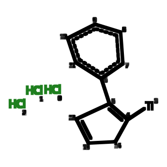 Cl.Cl.Cl.[Ti][C]1=C(c2ccccc2)C=CC1